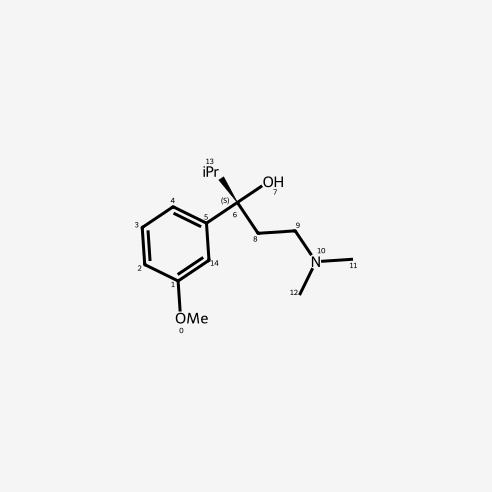 COc1cccc([C@](O)(CCN(C)C)C(C)C)c1